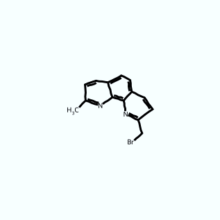 Cc1ccc2ccc3ccc(CBr)nc3c2n1